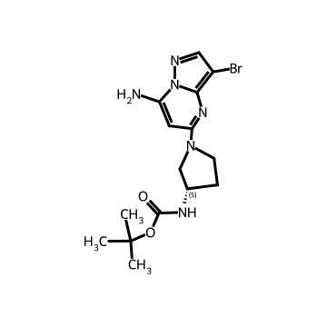 CC(C)(C)OC(=O)N[C@H]1CCN(c2cc(N)n3ncc(Br)c3n2)C1